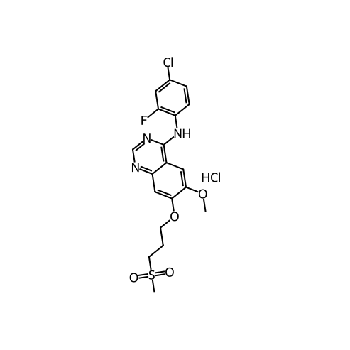 COc1cc2c(Nc3ccc(Cl)cc3F)ncnc2cc1OCCCS(C)(=O)=O.Cl